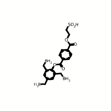 BCc1cc(CB)c(OC(=O)c2ccc(C(=O)OCCS(=O)(=O)O)cc2)c(CB)c1